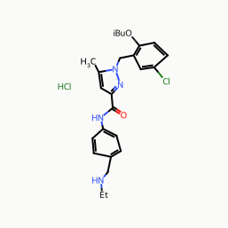 CCNCc1ccc(NC(=O)c2cc(C)n(Cc3cc(Cl)ccc3OCC(C)C)n2)cc1.Cl